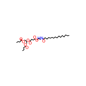 CCCCCCCCCCCCCCCC(=O)NCCOC(=O)CCC(=O)OC(COC(=O)CCC)COC(=O)CCC